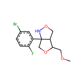 COCC1OCC2(c3cc(Br)ccc3F)NOCC12